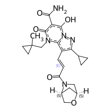 CC1(Cn2c(=O)c(C(N)=O)c(O)n3nc(C4CC4)c(/C=C/C(=O)N4C[C@@H]5C[C@H]4CO5)c23)CC1